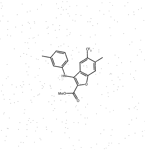 COC(=O)c1oc2cc(C)c(C(F)(F)F)cc2c1Nc1cccc(C)c1